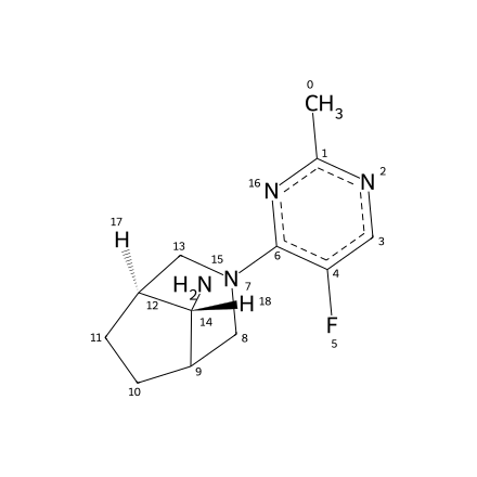 Cc1ncc(F)c(N2CC3CC[C@@H](C2)[C@@H]3N)n1